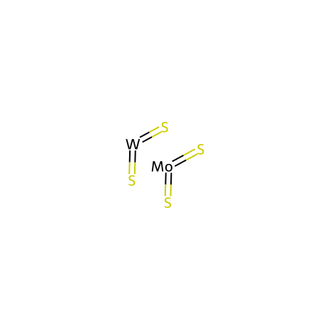 [S]=[Mo]=[S].[S]=[W]=[S]